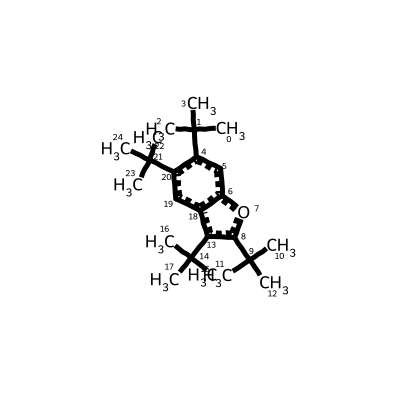 CC(C)(C)c1cc2oc(C(C)(C)C)c(C(C)(C)C)c2cc1C(C)(C)C